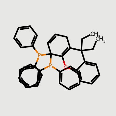 CCC1(CC)C2=C(Oc3ccccc31)C(P(c1ccccc1)c1ccccc1)(P(c1ccccc1)c1ccccc1)C=CC2